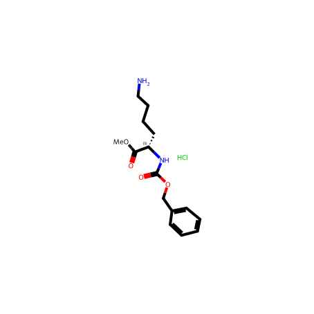 COC(=O)[C@H](CCCCN)NC(=O)OCc1ccccc1.Cl